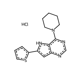 Cl.c1csc(-c2cc3ncnc(N4CCCCC4)c3[nH]2)c1